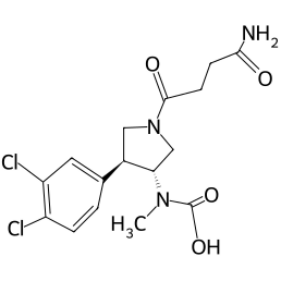 CN(C(=O)O)[C@H]1CN(C(=O)CCC(N)=O)C[C@@H]1c1ccc(Cl)c(Cl)c1